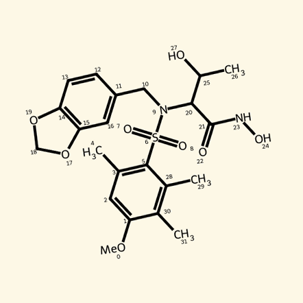 COc1cc(C)c(S(=O)(=O)N(Cc2ccc3c(c2)OCO3)C(C(=O)NO)C(C)O)c(C)c1C